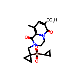 Cc1cc(C(=O)O)c(=O)n2c1C(=O)N(CC1(S(=O)(=O)C3CC3)CC1)CC2